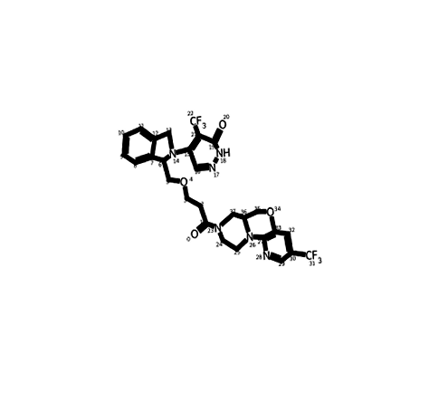 O=C(CCOCC1c2ccccc2CN1c1cn[nH]c(=O)c1C(F)(F)F)N1CCN2c3ncc(C(F)(F)F)cc3OCC2C1